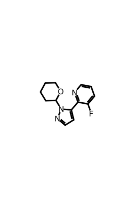 Fc1cccnc1-c1ccnn1C1CCCCO1